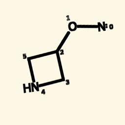 [N]OC1CNC1